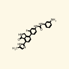 Cc1cnc(-c2ccc(-c3ccc(NC(=O)Nc4cccc(N)c4)cc3F)c3c2C(=O)NC3)[nH]1